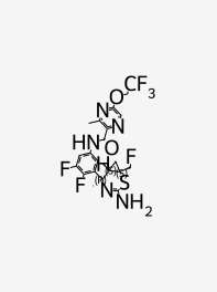 Cc1nc(OCC(F)(F)F)cnc1C(=O)Nc1cc(F)c(F)c([C@]2(C)N=C(N)S[C@@]3(CF)C[C@H]32)c1